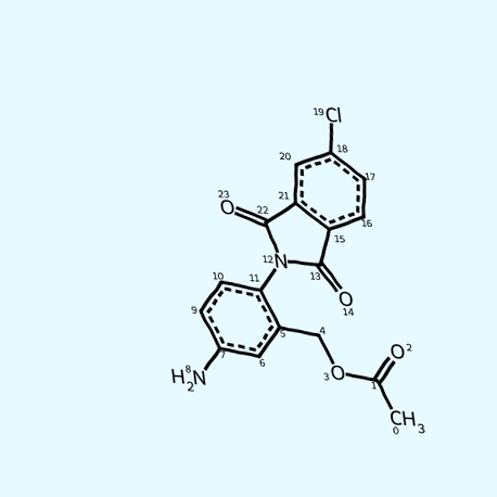 CC(=O)OCc1cc(N)ccc1N1C(=O)c2ccc(Cl)cc2C1=O